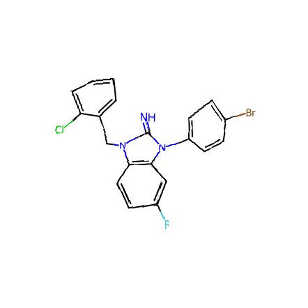 N=c1n(Cc2ccccc2Cl)c2ccc(F)cc2n1-c1ccc(Br)cc1